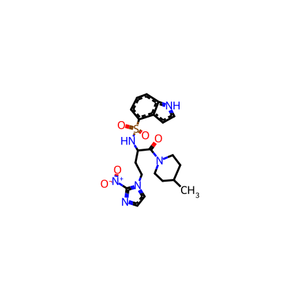 CC1CCN(C(=O)C(CCn2ccnc2[N+](=O)[O-])NS(=O)(=O)c2cccc3[nH]ccc23)CC1